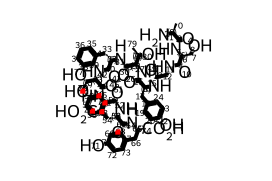 C[C@H](N)C(=O)N[C@@H](CO)C(=O)NCC(=O)N[C@@H](Cc1ccc(O)cc1)C(=O)N[C@H](C(=O)N[C@@H](Cc1ccccc1)C(=O)N[C@H](C(=O)N[C@@H](CC(=O)O)C(=O)N[C@@H](Cc1ccc(O)cc1)C(=O)N[C@@H](Cc1ccc(O)cc1)C(=O)O)[C@@H](C)O)[C@@H](C)O